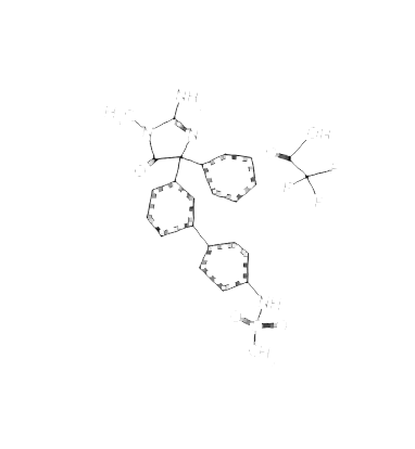 CN1C(=O)C(c2ccccc2)(c2cccc(-c3ccc(NS(C)(=O)=O)cc3)c2)N=C1N.O=C(O)C(F)(F)F